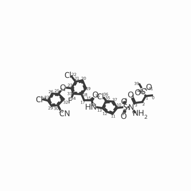 CC(CC(=O)N(N)S(=O)(=O)c1ccc(NC(=O)Cc2ccc(Cl)c(Oc3cc(Cl)cc(C#N)c3)c2F)c(Cl)c1)S(C)(=O)=O